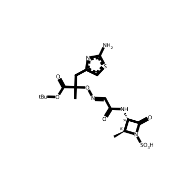 C[C@H]1[C@H](NC(=O)C=NOC(C)(Cc2csc(N)n2)C(=O)OC(C)(C)C)C(=O)N1S(=O)(=O)O